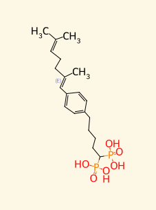 CC(C)=CCC/C(C)=C/c1ccc(CCCCC(P(=O)(O)O)P(=O)(O)O)cc1